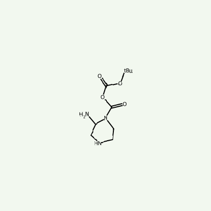 CC(C)(C)OC(=O)OC(=O)N1CCNCC1N